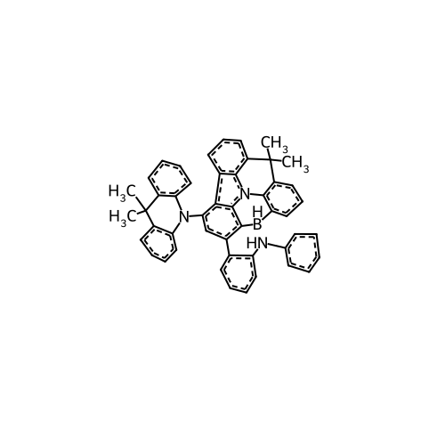 CC1(C)c2ccccc2N(c2cc(-c3ccccc3Nc3ccccc3)c3c4c2c2cccc5c2n4-c2c(cccc2C5(C)C)B3)c2ccccc21